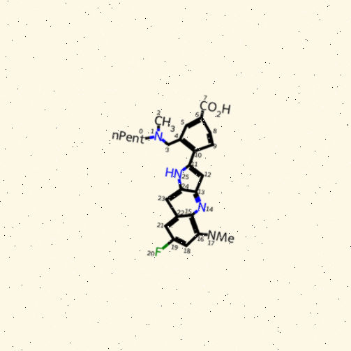 CCCCCN(C)Cc1cc(C(=O)O)ccc1-c1cc2nc3c(NC)cc(F)cc3cc2[nH]1